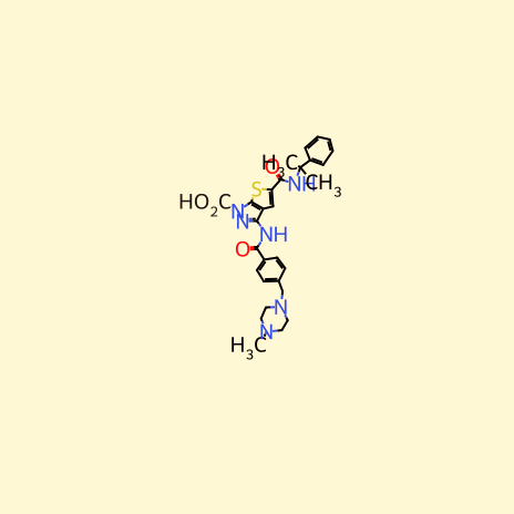 CN1CCN(Cc2ccc(C(=O)Nc3nn(C(=O)O)c4sc(C(=O)NC(C)(C)c5ccccc5)cc34)cc2)CC1